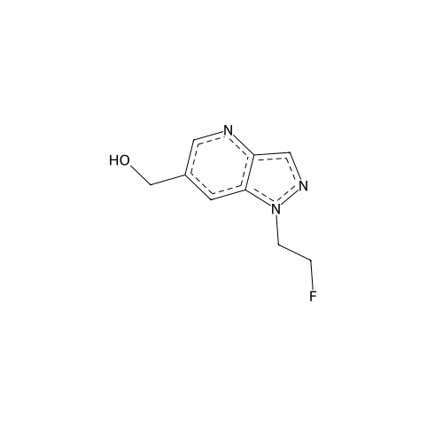 OCc1cnc2cnn(CCF)c2c1